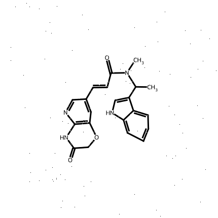 CC(c1c[nH]c2ccccc12)N(C)C(=O)C=Cc1cnc2c(c1)OCC(=O)N2